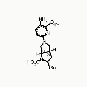 CC(C)Oc1nc(N2C[C@H]3CC(C(C)(C)C)N(C(=O)O)[C@H]3C2)ccc1N